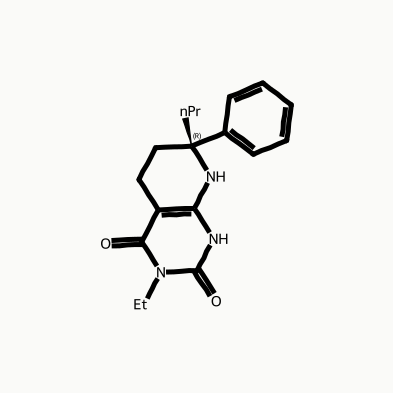 CCC[C@]1(c2ccccc2)CCc2c([nH]c(=O)n(CC)c2=O)N1